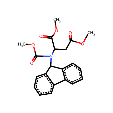 COC(=O)CC(C(=O)OC)N(C(=O)OC)C1c2ccccc2-c2ccccc21